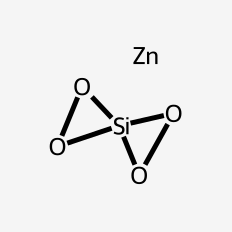 O1O[Si]12OO2.[Zn]